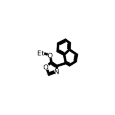 CCOc1o[c]nc1-c1cccc2ccccc12